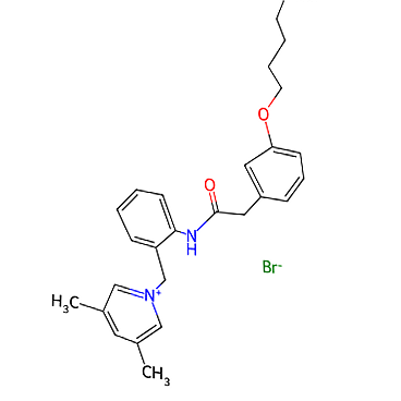 CCCCCCCCCCCCCCOc1cccc(CC(=O)Nc2ccccc2C[n+]2cc(C)cc(C)c2)c1.[Br-]